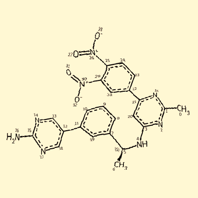 Cc1nc(N[C@@H](C)c2cccc(-c3cnc(N)nc3)c2)cc(-c2ccc([N+](=O)[O-])c([N+](=O)[O-])c2)n1